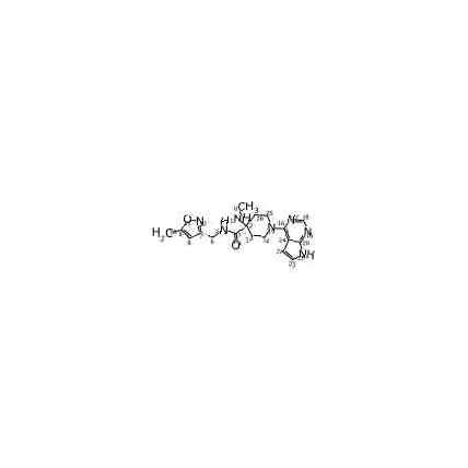 CNC1(C(=O)NCc2cc(C)on2)CCN(c2ncnc3[nH]ccc23)CC1